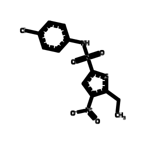 CCc1sc(S(=O)(=O)Nc2ccc(Cl)cc2)cc1[N+](=O)[O-]